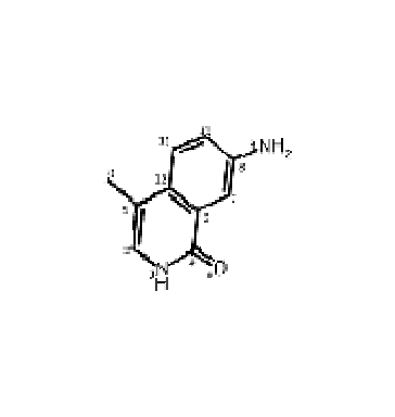 Cc1c[nH]c(=O)c2cc(N)ccc12